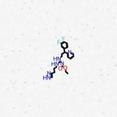 CCOC(=O)N=C(NCCCc1c[nH]cn1)NCCC(c1ccc(F)c(F)c1)c1ccccn1